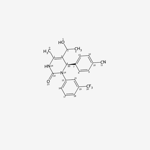 CC1=C(C(C)O)[C@@H](c2ccc(C#N)cc2)N(c2cccc(C(F)(F)F)c2)C(=O)N1